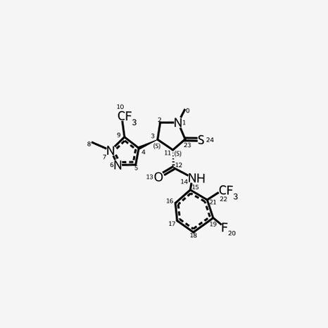 CN1C[C@H](c2cnn(C)c2C(F)(F)F)[C@@H](C(=O)Nc2cccc(F)c2C(F)(F)F)C1=S